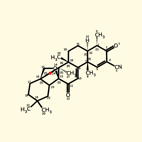 C[C@@H]1C(=O)C(C#N)=C[C@]2(C)C3=CC(=O)[C@]45OC[C@@]6(CCC(C)(C)CC64)CC[C@@]5(C)[C@]3(C)CC[C@@H]12